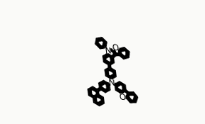 c1ccc(-n2c3ccc(-c4ccc(N(c5ccc(-c6cccc7ccccc67)cc5)c5ccc6c(c5)oc5ccccc56)cc4)cc3c3c4ccccc4oc32)cc1